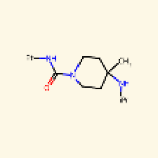 CCNC(=O)N1CCC(C)(NC(C)C)CC1